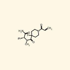 C=CC(=O)N1CCC(F)(C(=O)N(C)[C@H](C(N)=O)C(C)C)CC1